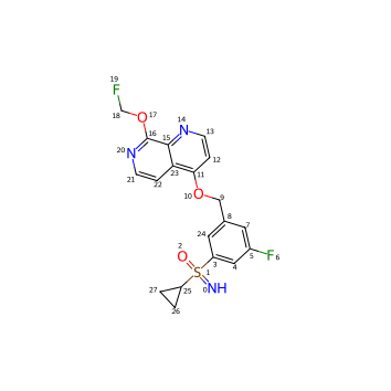 N=S(=O)(c1cc(F)cc(COc2ccnc3c(OCF)nccc23)c1)C1CC1